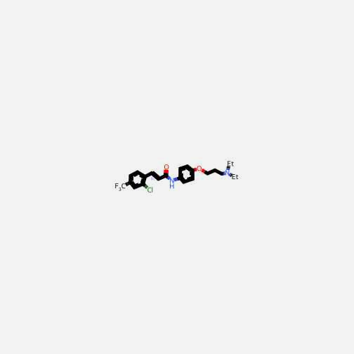 CCN(CC)CCCOc1ccc(NC(=O)/C=C/c2ccc(C(F)(F)F)cc2Cl)cc1